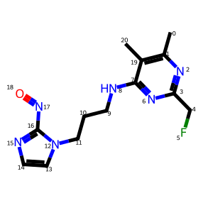 Cc1nc(CF)nc(NCCCn2ccnc2N=O)c1C